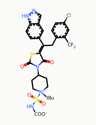 CC(C)(C)[N+]1(S(=O)(=O)NC(=O)[O-])CCC(N2C(=O)S/C(=C(/Cc3ccc(Cl)cc3C(F)(F)F)c3ccc4[nH]ncc4c3)C2=O)CC1